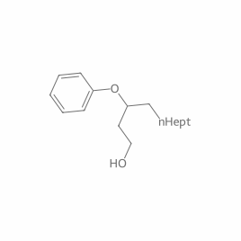 CCCCCCCCC(CCO)Oc1ccccc1